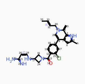 C=C1c2[nH]c(C)cc2C(c2ccc(C(=O)N3CC(N/C=C\C(=N)N)C3)c(Cl)c2)=CN1C/C=C/C